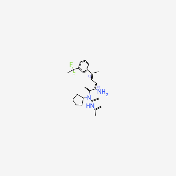 C=C(C)NC(=C)N(C(=C)/C(N)=C\C=C(/C)c1cccc(C(C)(F)F)c1)C1CCCC1